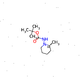 C[C@H]1CCCCN1NC(=O)OC(C)(C)C